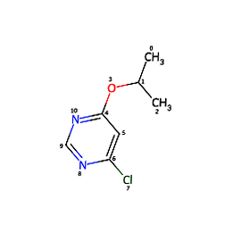 CC(C)Oc1cc(Cl)ncn1